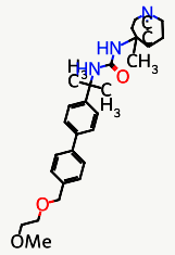 COCCOCc1ccc(-c2ccc(C(C)(C)NC(=O)NC3(C)CCN4CCC3CC4)cc2)cc1